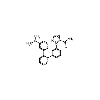 CN(C)c1cccc(-c2ccccc2-c2cccc(-n3ncnc3C(N)=O)c2)c1